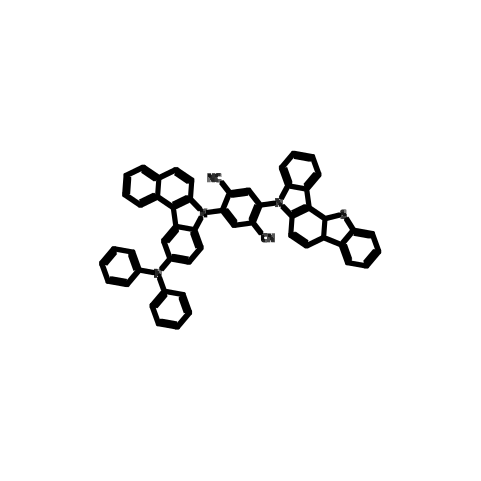 N#Cc1cc(-n2c3ccc(N(c4ccccc4)c4ccccc4)cc3c3c4ccccc4ccc32)c(C#N)cc1-n1c2c(c3ccccc31)C1Sc3ccccc3C1C=C2